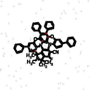 CN1C(C)(C)c2c(F)c(C#N)c(N3c4ccc(-c5ccccc5)cc4Oc4cc(-c5ccccc5)ccc43)c(N3c4ccc(-c5ccccc5)cc4Oc4cc(-c5ccccc5)ccc43)c2C1(C)C